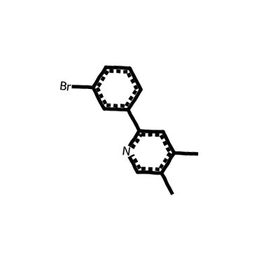 Cc1cnc(-c2cccc(Br)c2)cc1C